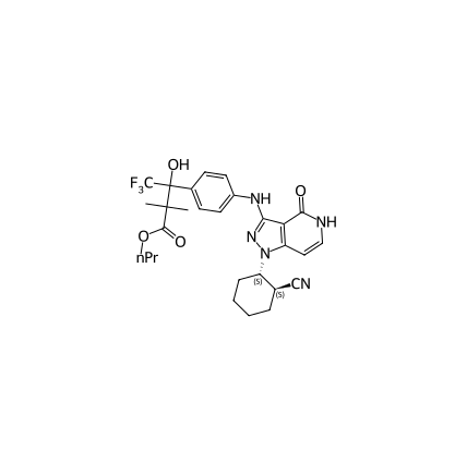 CCCOC(=O)C(C)(C)C(O)(c1ccc(Nc2nn([C@H]3CCCC[C@@H]3C#N)c3cc[nH]c(=O)c23)cc1)C(F)(F)F